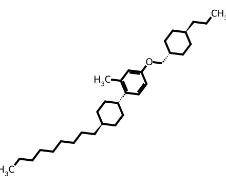 CCCCCCCCC[C@H]1CC[C@H](c2ccc(OC[C@H]3CC[C@H](CCC)CC3)cc2C)CC1